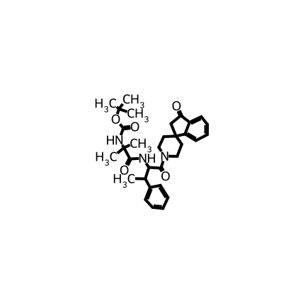 CC(c1ccccc1)C(NC(=O)C(C)(C)NC(=O)OC(C)(C)C)C(=O)N1CCC2(CC1)CC(=O)c1ccccc12